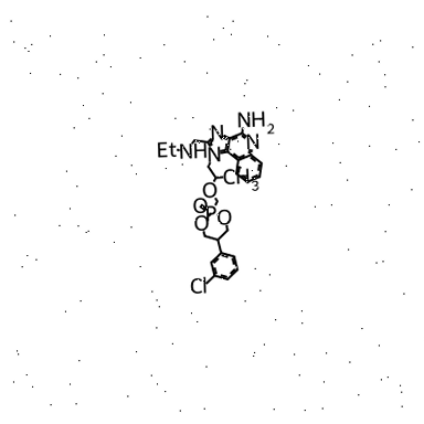 CCNCc1nc2c(N)nc3ccccc3c2n1CC(C)OCP1(=O)OCC(c2cccc(Cl)c2)CO1